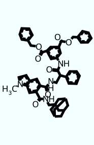 Cn1ccc2cc(C(=O)NCC(C(=O)Nc3cc(C(=O)OCc4ccccc4)cc(C(=O)OCc4ccccc4)c3)c3ccccc3)c(C(=O)NCC34CC5CC(CC(C5)C3)C4)cc21